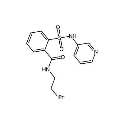 CC(C)CCNC(=O)c1ccccc1S(=O)(=O)Nc1cccnc1